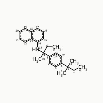 CCC(C)(C)c1ccc(C(C)(CC)Nc2cccc3ccccc23)cc1